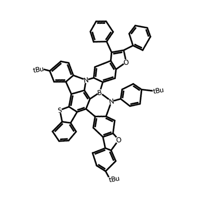 CC(C)(C)c1ccc(N2B3c4cc5oc(-c6ccccc6)c(-c6ccccc6)c5cc4-n4c5ccc(C(C)(C)C)cc5c5c6sc7ccccc7c6c(c3c54)-c3cc4c(cc32)oc2cc(C(C)(C)C)ccc24)cc1